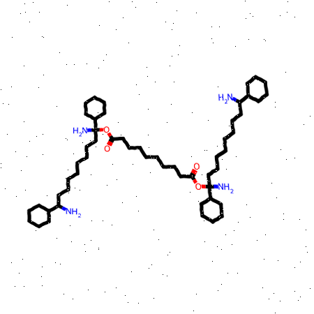 NC(CCCCCCCCC(N)(OC(=O)CCCCCCCCC(=O)OC(N)(CCCCCCCCC(N)C1CCCCC1)C1CCCCC1)C1CCCCC1)C1CCCCC1